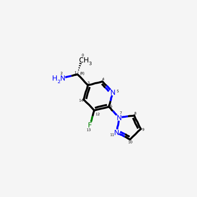 C[C@@H](N)c1cnc(-n2cccn2)c(F)c1